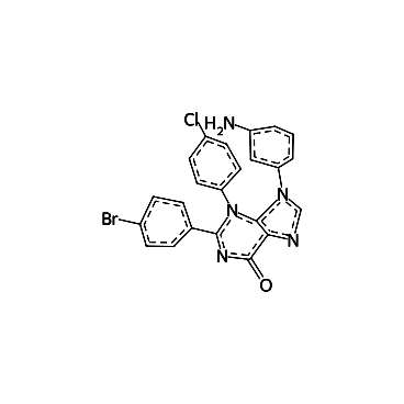 Nc1cccc(-n2cnc3c(=O)nc(-c4ccc(Br)cc4)n(-c4ccc(Cl)cc4)c32)c1